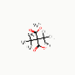 CC(C)(C)C(C(=O)[O-])(C(=O)[O-])C(C)(C)C.[Mg+2]